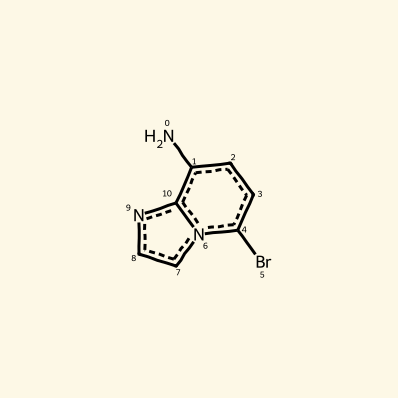 Nc1ccc(Br)n2ccnc12